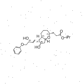 CC(C)OC(=O)CC[C@@H]1CCC[C@@H]2[C@@H](C=C[C@@H](O)COc3ccccc3)[C@H](O)C[C@@H]2O1